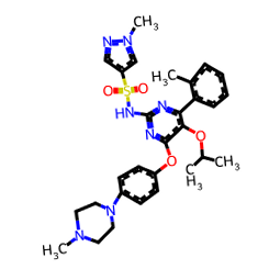 Cc1ccccc1-c1nc(NS(=O)(=O)c2cnn(C)c2)nc(Oc2ccc(N3CCN(C)CC3)cc2)c1OC(C)C